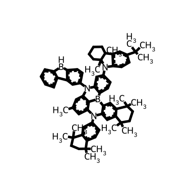 Cc1cc2c3c(c1)N(c1ccc4c(c1)C(C)(C)CCC4(C)C)c1cc4c(cc1B3c1ccc(N3c5ccc(C(C)(C)C)cc5C5(C)CCCCC35C)cc1N2c1ccc2c(c1)-c1ccccc1B2)C(C)(C)CCC4(C)C